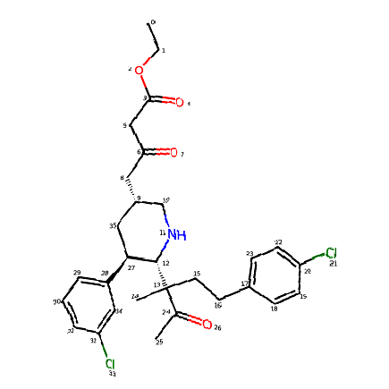 CCOC(=O)CC(=O)C[C@@H]1CN[C@H](C(C)(CCc2ccc(Cl)cc2)C(C)=O)[C@@H](c2cccc(Cl)c2)C1